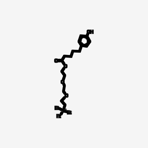 CC[N+](CC)(CC)CCOCCOCCOC(=O)CCCCc1ccc(O)cc1